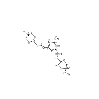 CN1CCC(CCOc2cc(NCC3CCC4(CCC4)CC3)nc(C#N)n2)CC1